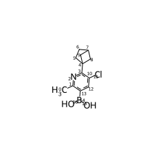 Cc1nc(C23CCC(C2)C3)c(Cl)cc1B(O)O